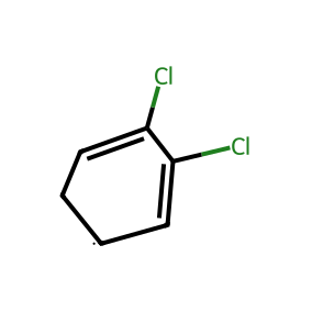 ClC1=C[CH]CC=C1Cl